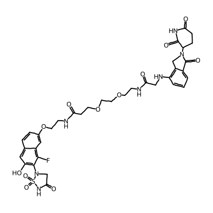 O=C(CCOCCOCCNC(=O)CNc1cccc2c1CN(C1CCC(=O)NC1=O)C2=O)NCCOc1ccc2cc(O)c(N3CC(=O)NS3(=O)=O)c(F)c2c1